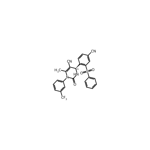 CC1=C(C#N)[C@@H](c2ccc(C#N)cc2S(=O)(=O)c2ccccc2)NC(=O)N1c1cccc(C(F)(F)F)c1